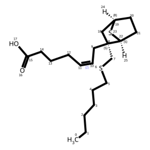 CCCCCCSC[C@]1(C/C=C\CCCC(=O)O)C[C@H]2CC[C@@H]1S2